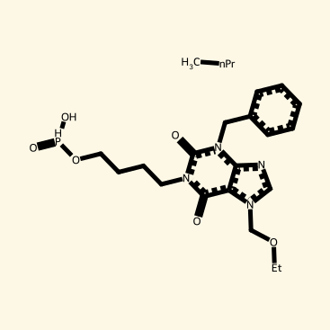 CCCC.CCOCn1cnc2c1c(=O)n(CCCCO[PH](=O)O)c(=O)n2Cc1ccccc1